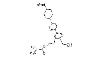 C=C(C)C(=O)OCCCc1cc(-c2ccc(C3CCC(CCCCC)CC3)cc2)ccc1CO